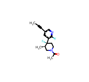 CC#Cc1cnc(F)c([C@]2(F)CCN(C(C)=O)C[C@H]2C)c1